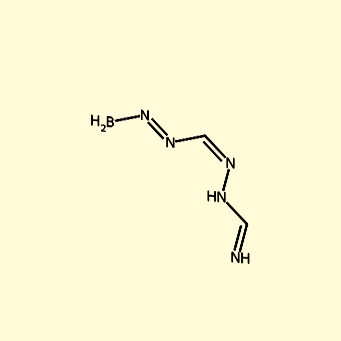 B/N=N/C=N\NC=N